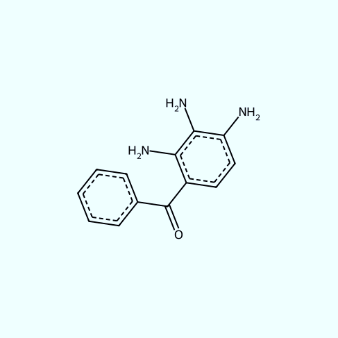 Nc1ccc(C(=O)c2ccccc2)c(N)c1N